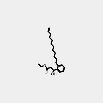 C=CCCCCCCCCCNc1ccccc1C(O)CC(=O)OCC